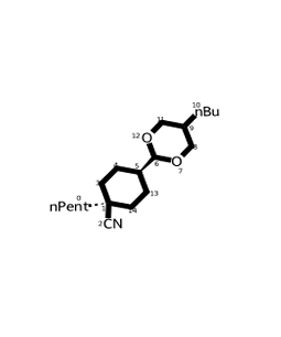 CCCCC[C@]1(C#N)CC[C@@H](C2OCC(CCCC)CO2)CC1